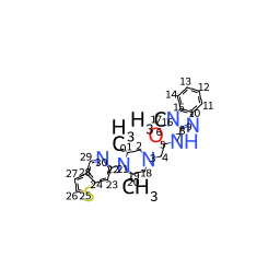 C[C@@H]1CN(CC(=O)Nc2nc3ccccc3n2C)C[C@H](C)N1c1cc2sccc2cn1